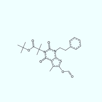 Cc1c(OC=O)sc2c1c(=O)n(C(C)(C)C(=O)OC(C)(C)C)c(=O)n2CCc1ccccc1